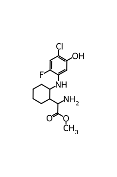 COC(=O)C(N)C1CCCCC1Nc1cc(O)c(Cl)cc1F